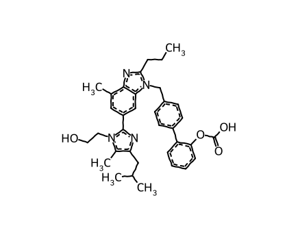 CCCc1nc2c(C)cc(-c3nc(CC(C)C)c(C)n3CCO)cc2n1Cc1ccc(-c2ccccc2OC(=O)O)cc1